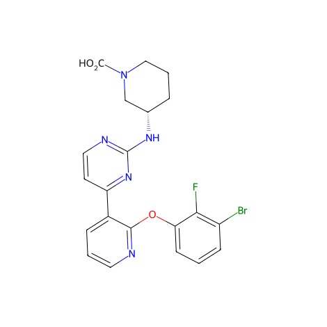 O=C(O)N1CCC[C@H](Nc2nccc(-c3cccnc3Oc3cccc(Br)c3F)n2)C1